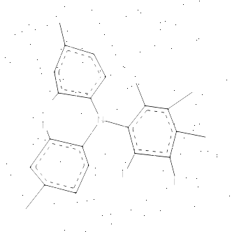 Cc1ccc(N(c2ccc(C)cc2F)c2c(F)c(F)c(C)c(F)c2F)c(F)c1